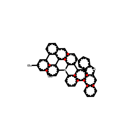 CC(C)(C)c1cc(-c2cccc3cccc(-c4ccccc4N(c4cccc(-c5cccc6sc7ccccc7c56)c4)c4ccccc4-c4ccc(-c5ccccc5)cc4)c23)cc(C(C)(C)C)c1